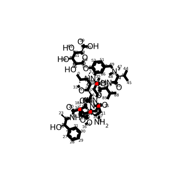 CC[C@H](C)[C@@H]([C@@H](CC(=O)N1CCC[C@H]1[C@H](OC)[C@@H](C)C(=O)N[C@H](C)[C@@H](O)c1ccccc1)OC)N(C)C(=O)[C@@H](NC(=O)[C@H](C(C)C)[N+](C)(C)Cc1ccc(O[C@@H]2O[C@H](C(=O)O)[C@@H](O)[C@H](O)[C@H]2O)c(NC(=O)CCNC(=O)[C@H](CN)N2C(=O)C=CC2=O)c1)C(C)C